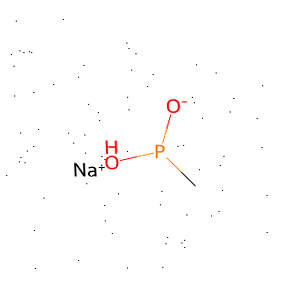 CP([O-])O.[Na+]